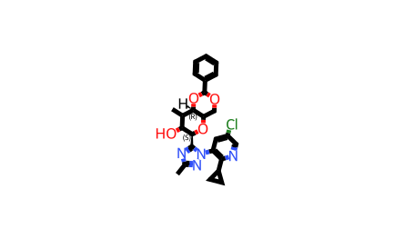 Cc1nc([C@@H]2OC3COC(c4ccccc4)O[C@@H]3C(C)C2O)n(-c2cc(Cl)cnc2C2CC2)n1